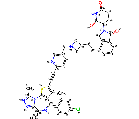 Cc1c(C#Cc2ccc(CN3CC(CCc4cccc5c4CN(C4CCC(=O)NC4=O)C5=O)C3)cn2)sc2c1C(c1ccc(Cl)cc1)=N[C@@H](C)c1nnc(C)n1-2